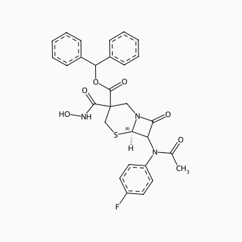 CC(=O)N(c1ccc(F)cc1)C1C(=O)N2CC(C(=O)NO)(C(=O)OC(c3ccccc3)c3ccccc3)CS[C@H]12